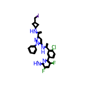 C=C(NC1CC(CI)C1)c1cc(NC(=C)c2cc(-c3nc(NC)c(F)cc3F)ccc2Cl)n(-c2ccccc2)n1